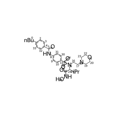 CCCCc1ccc(C(=O)Nc2ccc(S(=O)(=O)N(CCN3CCOCC3)C(C(=O)NO)C(C)C)cc2)cc1